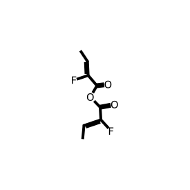 CC=C(F)C(=O)OC(=O)C(F)=CC